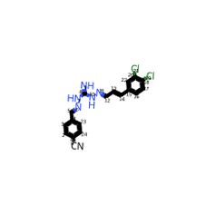 N#Cc1ccc(C=NNC(=N)NN=CC=Cc2ccc(Cl)c(Cl)c2)cc1